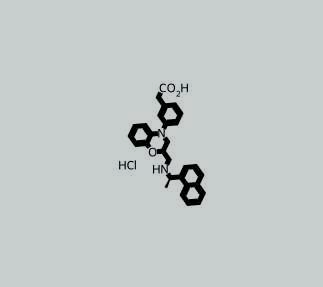 C[C@@H](NCC1CN(c2cccc(CC(=O)O)c2)c2ccccc2O1)c1cccc2ccccc12.Cl